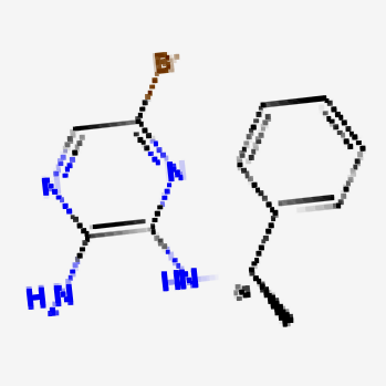 C[C@@H](Nc1nc(Br)cnc1N)c1ccccc1